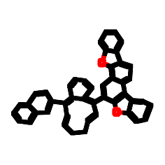 C1=C/C(c2ccc3ccccc3c2)=c2/cccc/c2=C(c2cc3c(ccc4c5ccccc5oc43)c3c2oc2ccccc23)/C=C/CC/1